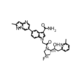 Cc1cccc(C[C@H](O)[C@@H]2C[C@@H](F)CN2C(=O)Cn2cc(C(N)=O)c3cc(-c4cnc5cc(C)nn5c4)ccc32)n1